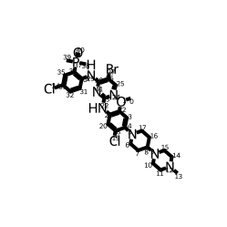 COc1cc(N2CCC(N3CCN(C)CC3)CC2)c(Cl)cc1Nc1ncc(Br)c(Nc2ccc(Cl)cc2P(C)(C)=O)n1